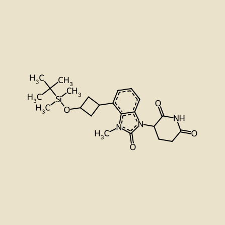 Cn1c(=O)n(C2CCC(=O)NC2=O)c2cccc(C3CC(O[Si](C)(C)C(C)(C)C)C3)c21